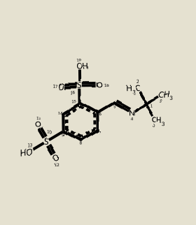 CC(C)(C)N=Cc1ccc(S(=O)(=O)O)cc1S(=O)(=O)O